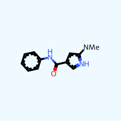 CNc1cc(C(=O)Nc2ccccc2)c[nH]1